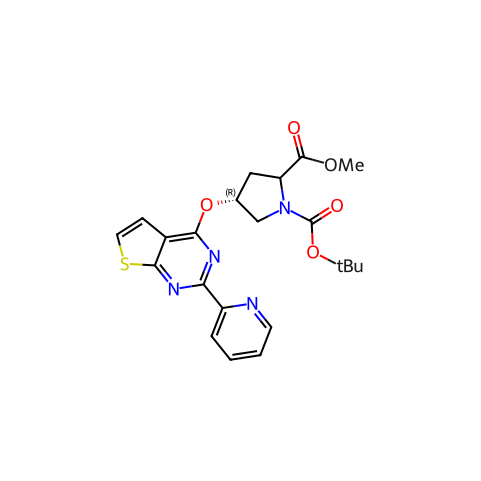 COC(=O)C1C[C@@H](Oc2nc(-c3ccccn3)nc3sccc23)CN1C(=O)OC(C)(C)C